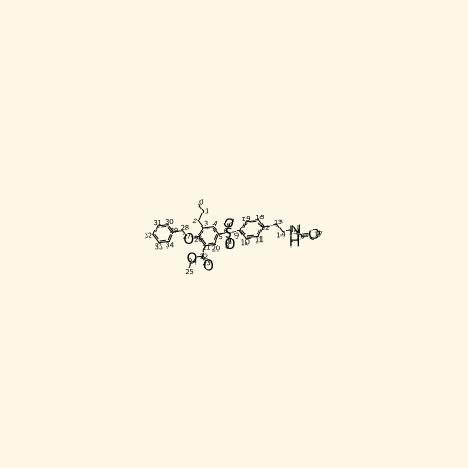 CCCc1cc(S(=O)(=O)c2ccc(CCNC=O)cc2)cc(C(=O)OC)c1OCc1ccccc1